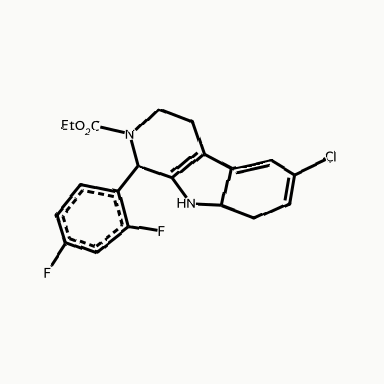 CCOC(=O)N1CCC2=C(NC3CC=C(Cl)C=C23)C1c1ccc(F)cc1F